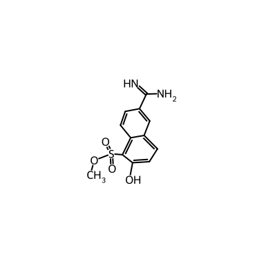 COS(=O)(=O)c1c(O)ccc2cc(C(=N)N)ccc12